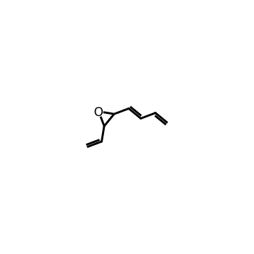 C=CC=CC1OC1C=C